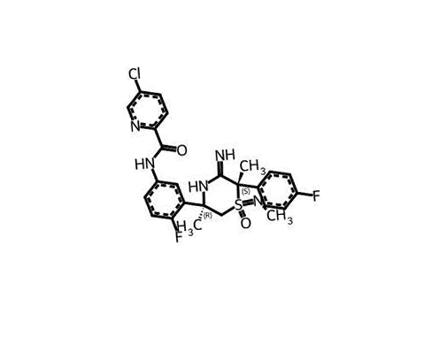 CN=S1(=O)C[C@@](C)(c2cc(NC(=O)c3ccc(Cl)cn3)ccc2F)NC(=N)[C@]1(C)c1ccc(F)cc1